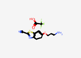 N#Cc1nc2ccc(OCCCN)cc2s1.O=C(O)C(F)(F)F